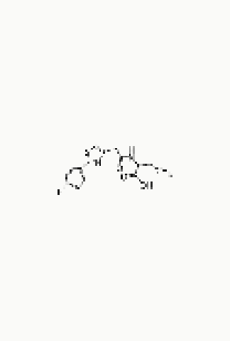 CCC(NC(=O)Cc1csc(-c2ccc(F)cc2)n1)C(=O)O